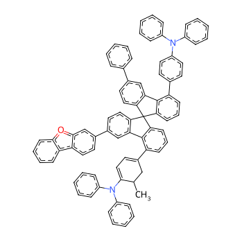 CC1CC(c2cccc3c2-c2cc(-c4ccc5c(c4)oc4ccccc45)ccc2C32c3ccc(-c4ccccc4)cc3-c3c(-c4ccc(N(c5ccccc5)c5ccccc5)cc4)cccc32)=CC=C1N(c1ccccc1)c1ccccc1